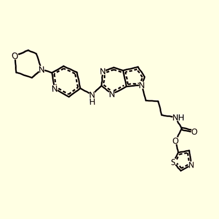 O=C(NCCCn1ccc2cnc(Nc3ccc(N4CCOCC4)nc3)nc21)Oc1cncs1